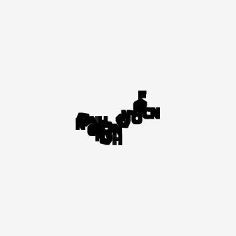 N#CC1C[C@H](F)CN1C(=O)CN1CCC(Nc2ccc(C(=O)Nc3cccnc3)c3ncccc23)CC1